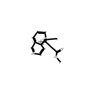 COC(=O)C1=C(C)N2C=CC=C3C=NC=CC32N1